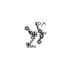 CCC(=O)N(c1ccc(CCCCCC(=O)OC)cc1)C1CCN(CCc2ccccc2)CC1.O=C(O)CCCCCc1ccc(NC2CCN(CCc3ccccc3)CC2)cc1